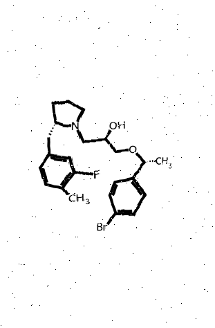 Cc1ccc(C[C@@H]2CCCN2C[C@@H](O)CO[C@H](C)c2ccc(Br)cc2)cc1F